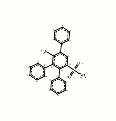 Nc1c(-c2ccccc2)cc(S(N)(=O)=O)c(-c2ccccc2)c1-c1ccccc1